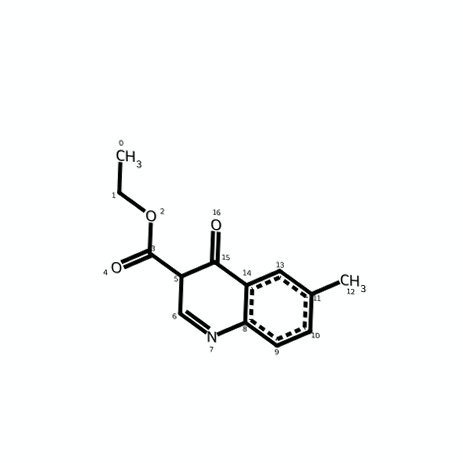 CCOC(=O)C1C=Nc2ccc(C)cc2C1=O